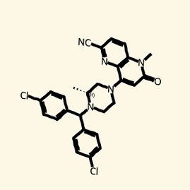 C[C@@H]1CN(c2cc(=O)n(C)c3ccc(C#N)nc23)CCN1C(c1ccc(Cl)cc1)c1ccc(Cl)cc1